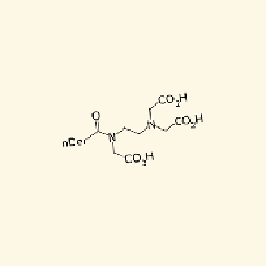 CCCCCCCCCCC(=O)N(CCN(CC(=O)O)CC(=O)O)CC(=O)O